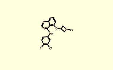 CC(C)N1CC(Oc2cccc3ncnc(Nc4ccc(F)c(Cl)c4)c23)C1